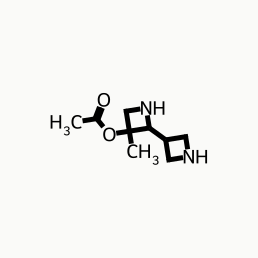 CC(=O)OC1(C)CNC1C1CNC1